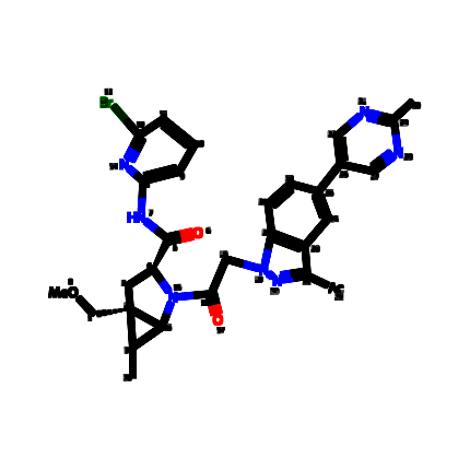 COC[C@]12C[C@@H](C(=O)Nc3cccc(Br)n3)N(C(=O)Cn3nc(C(C)=O)c4cc(-c5cnc(C)nc5)ccc43)C1C2C